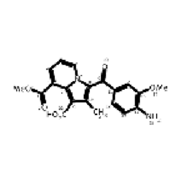 COC(=O)c1cccn2c(C(=O)c3ccc(N)c(OC)c3)c(C)c(C(=O)O)c12